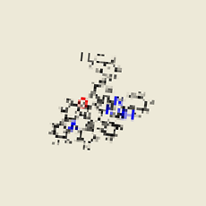 C=C1CCCC(C2=CC=C(C3=CCCc4c3oc3c4-c4c(c5ccccc5n4C4=CCCC=C4)CC3)C(C3=NC(c4ccccc4)NC(C4C=CCCC4)=N3)C2)C1